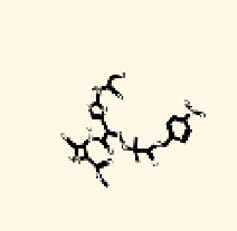 COC(=O)C1NC(=O)C1NC(=O)C(=NOC(C)(C)C(=O)OCc1ccc([N+](=O)[O-])cc1)c1csc(NC(=O)CCl)n1